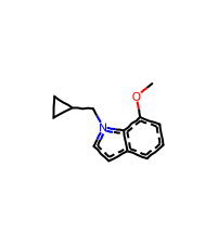 COc1cccc2ccn(CC3CC3)c12